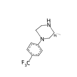 C[C@@H]1CN(c2ccc(C(F)(F)F)cc2)CCN1